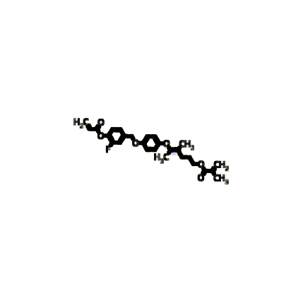 C=CC(=O)Oc1ccc(COc2ccc(O/C(C)=C(\C)CCCOC(=O)C(=C)C)cc2)cc1F